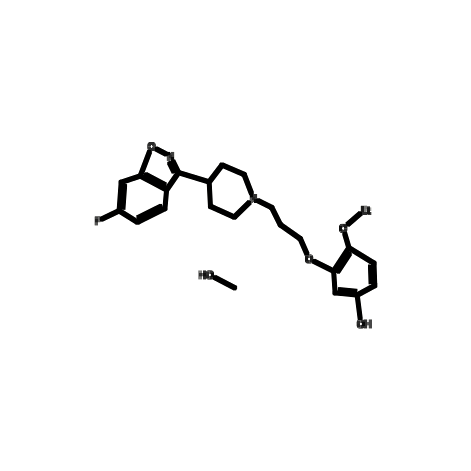 CCOc1ccc(O)cc1OCCCN1CCC(c2noc3cc(F)ccc23)CC1.CO